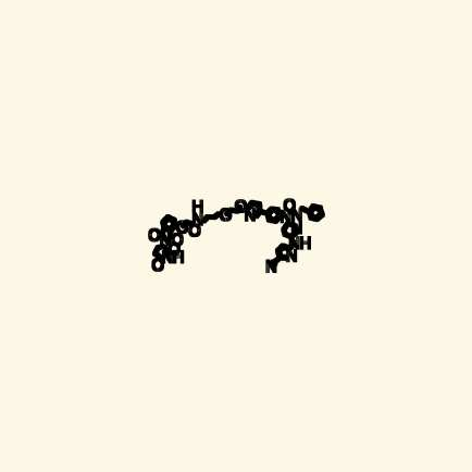 N#Cc1ccc(N[C@H]2CC[C@H](N(C(=O)NCc3ccccc3)c3ccc(-c4ccc(OCCOCCCCNC(=O)COc5cccc6c5C(=O)N(C5CCC(=O)NC5=O)C6=O)nc4)cc3)CC2)nc1